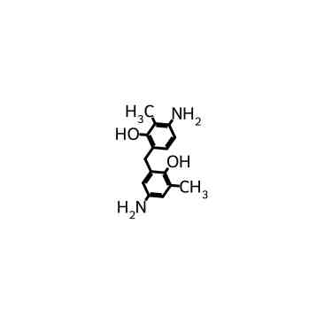 Cc1cc(N)cc(Cc2ccc(N)c(C)c2O)c1O